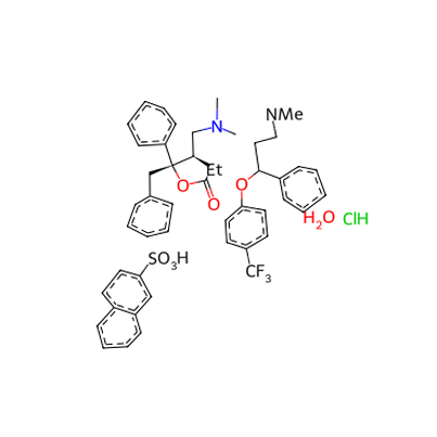 CCC(=O)O[C@](Cc1ccccc1)(c1ccccc1)[C@H](C)CN(C)C.CNCCC(Oc1ccc(C(F)(F)F)cc1)c1ccccc1.Cl.O.O=S(=O)(O)c1ccc2ccccc2c1